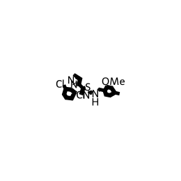 COc1cc(C)ccc1CNc1ncc(-c2ccnn2-c2c(Cl)cccc2Cl)s1